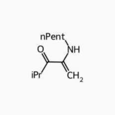 C=C(NCCCCC)C(=O)C(C)C